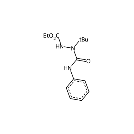 CCOC(=O)NN(C(=O)Nc1ccccc1)C(C)(C)C